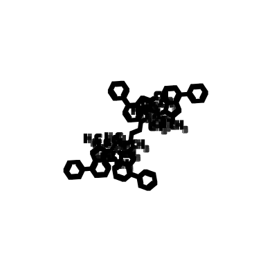 C[SiH2][Zr]([CH3])([CH3])([CH]1C(C)=Cc2c(-c3ccccc3)cccc21)([CH]1C(C)=Cc2c(-c3ccccc3)cccc21)[Si](C)(C)CCCC[Si](C)(C)[Zr]([CH3])([CH3])([SiH2]C)([CH]1C(C)=Cc2c(-c3ccccc3)cccc21)[CH]1C(C)=Cc2c(-c3ccccc3)cccc21